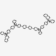 c1ccc(N(c2ccc(-c3ccc(-c4ccc(-c5ccc(N(c6ccccc6)c6ccc(-c7ccc(N(c8ccccc8)c8ccc9ccccc9c8)cc7)cc6)cc5)cc4)cc3)cc2)c2ccc(-c3ccc(N(c4ccccc4)c4ccc5ccccc5c4)cc3)cc2)cc1